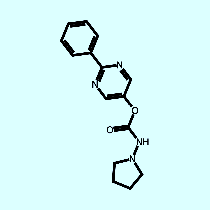 O=C(NN1CCCC1)Oc1cnc(-c2ccccc2)nc1